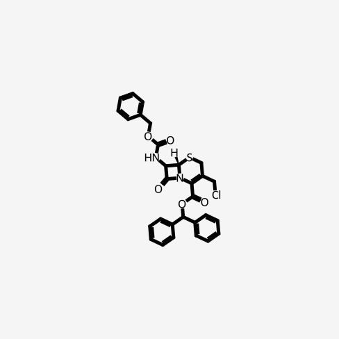 O=C(NC1C(=O)N2C(C(=O)OC(c3ccccc3)c3ccccc3)=C(CCl)CS[C@@H]12)OCc1ccccc1